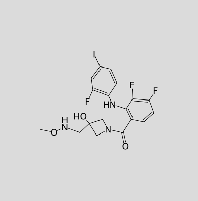 CONCC1(O)CN(C(=O)c2ccc(F)c(F)c2Nc2ccc(I)cc2F)C1